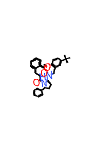 COc1ccc(C(C)(C)C)cc1CNC1CCC(c2ccccc2)N1C(=O)C1Cc2ccccc2CO1